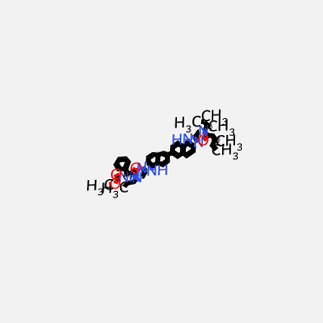 CCCN(Cc1nc2c([nH]1)C1C=CC(c3ccc4c(ccc5nc(CN(C(=O)C[C@@H](C)CC)[C@H](C)C(C)C)[nH]c54)c3)=CC1C=C2)C(=O)[C@H](NC(=O)OC)c1ccccc1